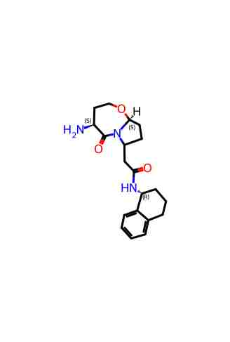 N[C@H]1CCO[C@H]2CCC(CC(=O)N[C@@H]3CCCc4ccccc43)N2C1=O